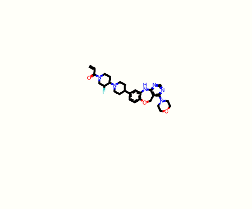 C=CC(=O)N1CCC(N2CCC(c3ccc4c(c3)Nc3ncnc(N5CCOCC5)c3CO4)CC2)C(F)C1